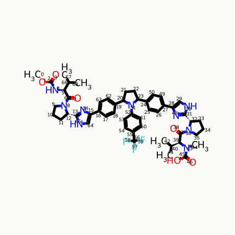 COC(=O)N[C@H](C(=O)N1CCC[C@H]1c1nc(-c2ccc(C3CCC(c4ccc(-c5c[nH]c([C@@H]6CCCN6C(=O)[C@H](C(C)C)N(C)C(=O)O)n5)cc4)N3c3ccc(C(F)(F)F)cc3)cc2)c[nH]1)C(C)C